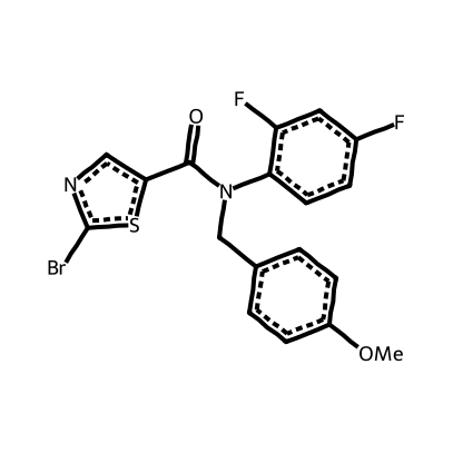 COc1ccc(CN(C(=O)c2cnc(Br)s2)c2ccc(F)cc2F)cc1